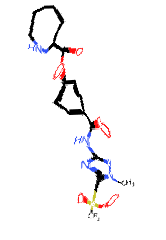 Cn1nc(NC(=O)c2ccc(OC(=O)C3CCCCN3)cc2)nc1S(=O)(=O)C(F)(F)F